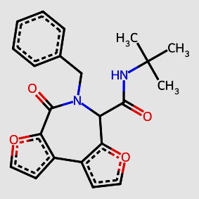 CC(C)(C)NC(=O)C1c2occc2-c2ccoc2C(=O)N1Cc1ccccc1